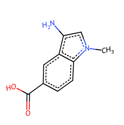 Cn1cc(N)c2cc(C(=O)O)ccc21